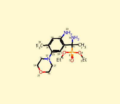 CCOP(=O)(OCC)C(C)(N)c1cc(N2CCOCC2)c(C(F)(F)F)cc1N